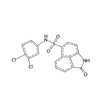 O=C1Nc2ccc(S(=O)(=O)Nc3ccc(Cl)c(Cl)c3)c3cccc1c23